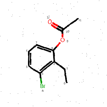 CCc1c(Br)cccc1OC(C)=O